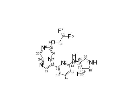 FC(F)COc1cn2c(-c3cccc(N[C@H]4CNC[C@@H]4F)n3)cnc2cn1